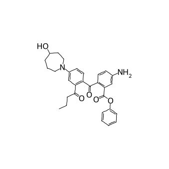 CCCC(=O)c1cc(N2CCCC(O)CC2)ccc1C(=O)c1ccc(N)cc1C(=O)Oc1ccccc1